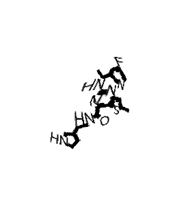 Cc1cc2nc(NC(C)c3cncc(F)c3)nc(C(=O)NCCC3CCNC3)c2s1